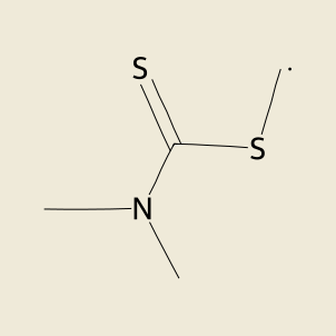 [CH2]SC(=S)N(C)C